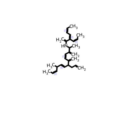 C=CCC(/C=C/C(C)/C=C\C)C(=C)/C=C\C(=C)C(C)NC(=C)C(/C=C\C)=C\C=C/C